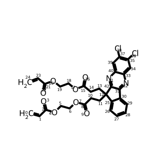 C=CC(=O)OCCOC(=O)CCC1(CCC(=O)OCCOC(=O)C=C)c2ccccc2-c2nc3cc(Cl)c(Cl)cc3nc21